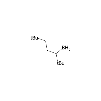 BC(CCC(C)(C)C)C(C)(C)C